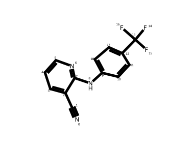 N#Cc1cccnc1Nc1ccc(C(F)(F)F)cc1